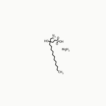 CCCCCCCCCCCCC(O)(CC)CCS(=O)(=O)O.[MgH2]